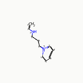 C=CNCCC[n+]1ccccc1